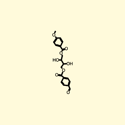 COc1ccc(C(=O)OCC(O)C(O)COC(=O)c2ccc(C=O)cc2)cc1